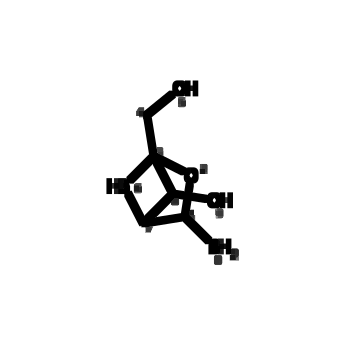 BC1OC2(CO)BC1C2O